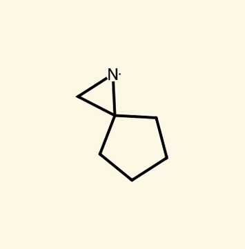 C1CCC2(C1)C[N]2